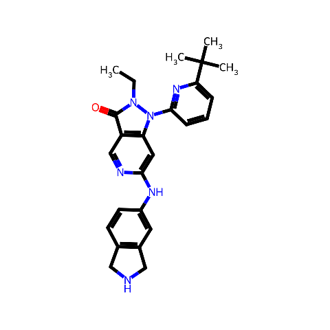 CCn1c(=O)c2cnc(Nc3ccc4c(c3)CNC4)cc2n1-c1cccc(C(C)(C)C)n1